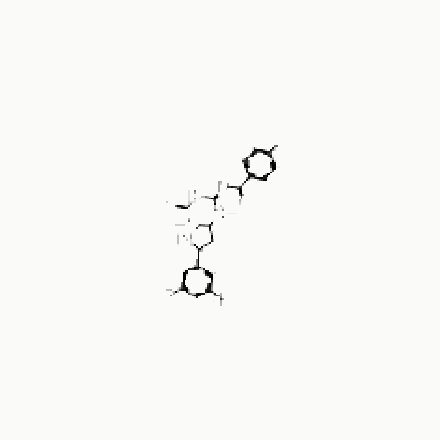 CC(C)CN/C(=N/C(=O)c1ccc(F)cc1)NC1CC(c2cc(F)cc(F)c2)NN1